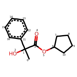 CC(O)(C(=O)OC1CCCC1)c1ccccc1